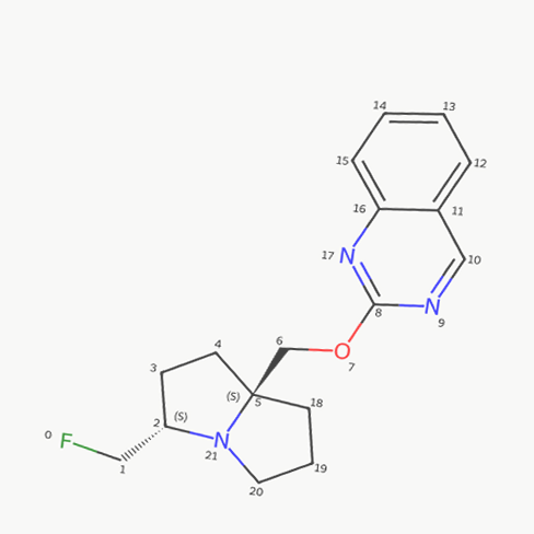 FC[C@@H]1CC[C@]2(COc3ncc4ccccc4n3)CCCN12